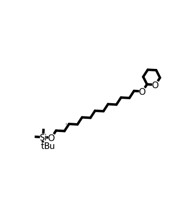 CC(C)(C)[Si](C)(C)OCC[CH]CCCCCCCCCCOC1CCCCO1